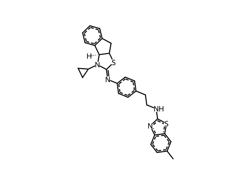 Cc1ccc2nc(NCCc3ccc(/N=C4\SC5Cc6ccccc6[C@@H]5N4C4CC4)cc3)sc2c1